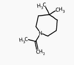 C=C(C)N1CCCC(C)(C)CC1